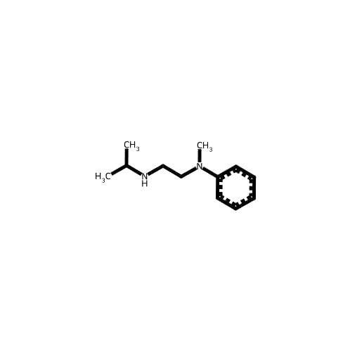 CC(C)NCCN(C)c1ccccc1